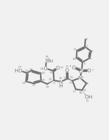 Cc1ccc(S(=O)(=O)N2C[C@H](O)C[C@H]2C(=O)N[C@@H](Cc2ccc(O)cc2)C(=O)OC(C)(C)C)cc1